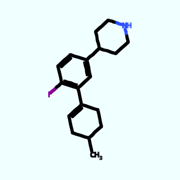 CC1CC=C(c2cc(C3CCNCC3)ccc2I)CC1